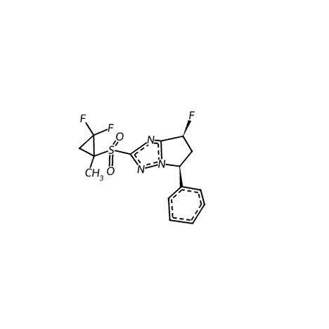 CC1(S(=O)(=O)c2nc3n(n2)[C@H](c2ccccc2)C[C@@H]3F)CC1(F)F